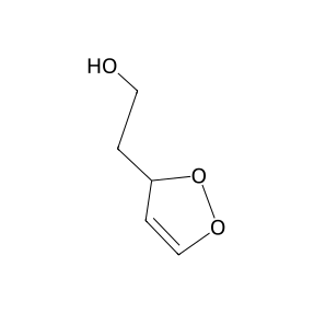 OCCC1C=COO1